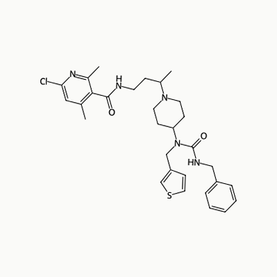 Cc1cc(Cl)nc(C)c1C(=O)NCCC(C)N1CCC(N(Cc2ccsc2)C(=O)NCc2ccccc2)CC1